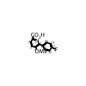 COc1ccc(C(=O)O)nc1-c1ccc(F)cc1